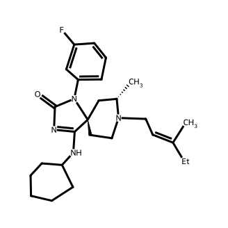 CCC(C)=CCN1CC[C@@]2(C[C@@H]1C)C(NC1CCCCC1)=NC(=O)N2c1cccc(F)c1